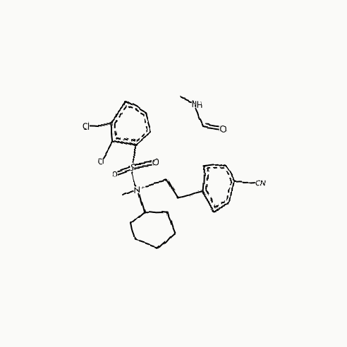 CNC=O.C[N+](CCc1ccc(C#N)cc1)(C1CCCCC1)S(=O)(=O)c1cccc(Cl)c1Cl